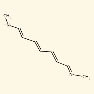 CN=CC=CC=CC=CNC